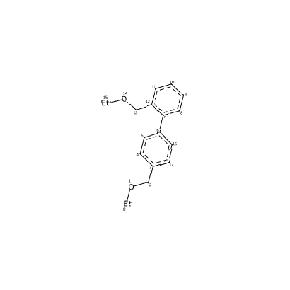 CCOCc1ccc(-c2ccccc2COCC)cc1